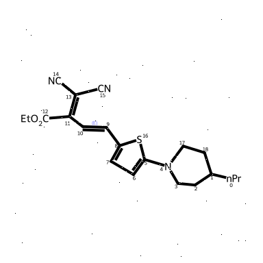 CCCC1CCN(c2ccc(/C=C/C(C(=O)OCC)=C(C#N)C#N)s2)CC1